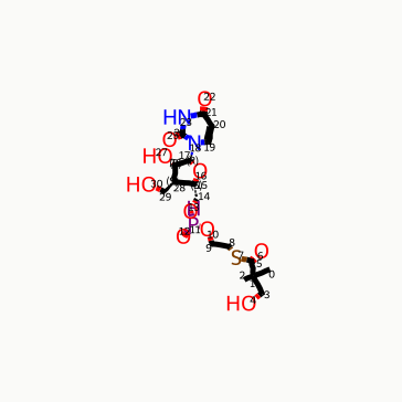 CC(C)(CO)C(=O)SCCO[PH](=O)OC[C@H]1O[C@@H](n2ccc(=O)[nH]c2=O)[C@H](O)[C@@H]1CO